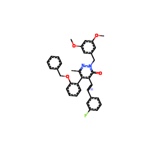 COc1cc(Cn2nc(C)c(-c3ccccc3OCc3ccccc3)c(/C=C/c3cccc(F)c3)c2=O)cc(OC)c1